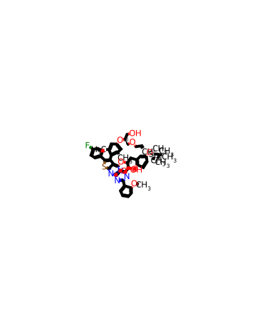 C=CCOC[C@H](CO)Oc1cc(C)c(-c2c(-c3ccc(F)cc3)sc3ncnc(OC(Cc4cc(O[Si](C)(C)C(C)(C)C)ccc4OCc4ccnc(-c5ccccc5OC)n4)C(=O)O)c23)c(C)c1